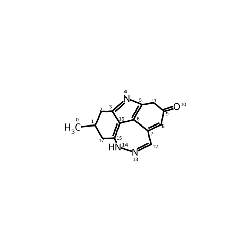 CC1CC2=NC3=C4C(=CC(=O)C3)C=NNC(=C24)C1